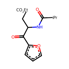 CCOC(=O)CC(NC(=O)C(C)C)C(=O)c1ccco1